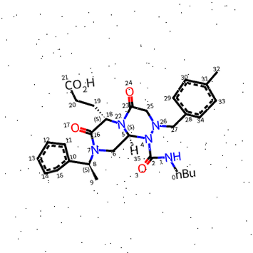 CCCCNC(=O)N1[C@H]2CN([C@@H](C)c3ccccc3)C(=O)[C@H](CCC(=O)O)N2C(=O)CN1Cc1ccc(C)cc1